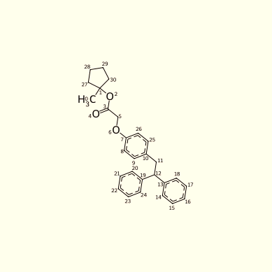 CC1(OC(=O)COc2ccc(CC(c3ccccc3)c3ccccc3)cc2)CCCC1